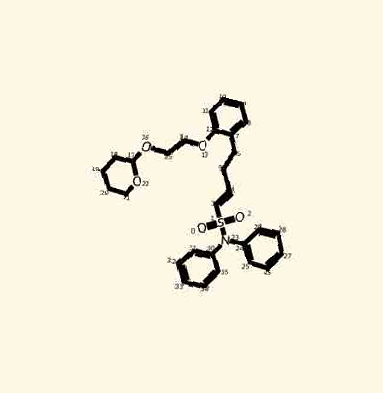 O=S(=O)(C=CCCc1ccccc1OCCOC1CCCCO1)N(c1ccccc1)c1ccccc1